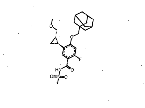 COC[C@H]1C[C@@H]1c1cc(C(=O)NS(C)(=O)=O)c(F)cc1OCC12CC3CC(CC(C3)C1)C2